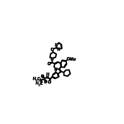 COc1ccc2c(c1)C=C(C(=O)N1CCC(Oc3ncccn3)CC1)Cn1c-2c(C2CCCCC2)c2ccc(C(=O)NS(=O)(=O)N(C)C)cc21